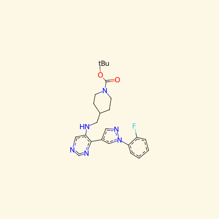 CC(C)(C)OC(=O)N1CCC(CNc2cncnc2-c2cnn(-c3ccccc3F)c2)CC1